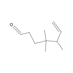 C=CC(C)C(C)(C)CCC=O